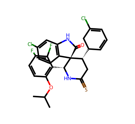 CC(C)Oc1ccc(F)c(F)c1[C@H]1NC(=S)C[C@@H](C2C=CC=C(Cl)C2)[C@]12C(=O)Nc1cc(Cl)ccc12